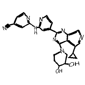 N#Cc1ccnc(Nc2cc(-c3nc(N4CCC(O)C(O)C4)c4c(C5CC5)cncc4n3)ccn2)c1